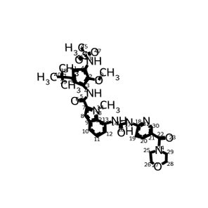 COc1c(NC(=O)c2cc3cccc(NC(=O)Nc4ccc(C(=O)N5CCOCC5)cn4)c3n2C)cc(C(C)(C)C)cc1NS(C)(=O)=O